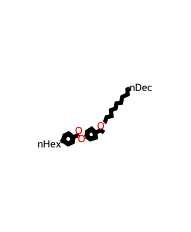 CCCCCCCCCCCCCCCCCCCCOC(C)c1ccc(OC(=O)c2ccc(CCCCCC)cc2)cc1